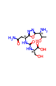 CC(O)[C@H](N)c1nnc([C@H](CC(N)=O)NC(=O)N[C@H](CO)C(=O)O)o1